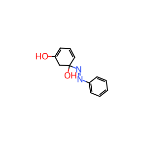 OC1=CC=CC(O)(/N=N/c2ccccc2)C1